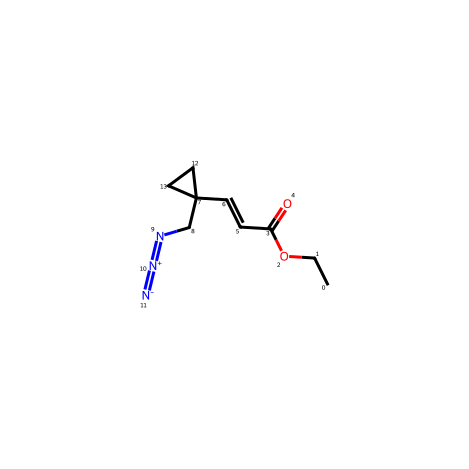 CCOC(=O)C=CC1(CN=[N+]=[N-])CC1